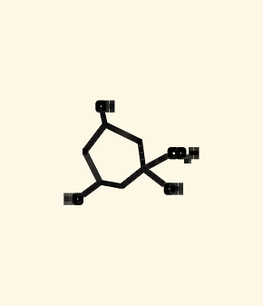 O=C(O)C1(O)CC(O)CC(O)C1